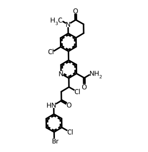 CN1C(=O)CCc2cc(-c3cnc(C(Cl)CC(=O)Nc4ccc(Br)c(Cl)c4)c(C(N)=O)c3)c(Cl)cc21